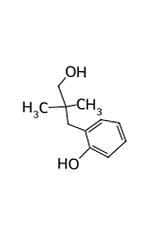 CC(C)(CO)Cc1ccccc1O